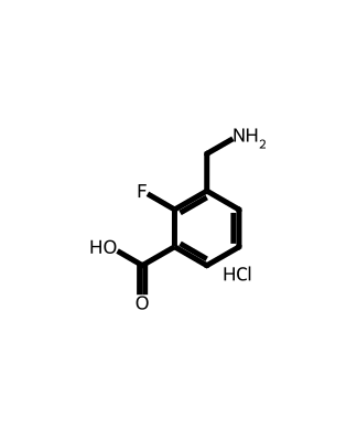 Cl.NCc1cccc(C(=O)O)c1F